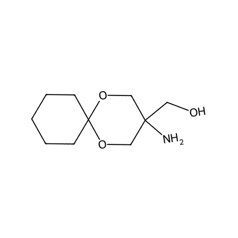 NC1(CO)COC2(CCCCC2)OC1